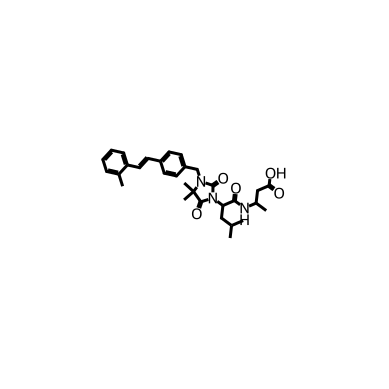 Cc1ccccc1C=Cc1ccc(CN2C(=O)N(C(CC(C)C)C(=O)NC(C)CC(=O)O)C(=O)C2(C)C)cc1